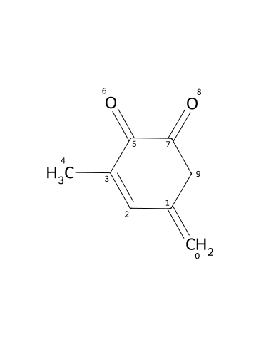 C=C1C=C(C)C(=O)C(=O)C1